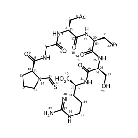 CC(=O)C[C@H](NC(=O)CNC(=O)[C@@H]1CCCN1C=S)C(=O)N[C@@H](CC(C)C)C(=O)N[C@@H](CO)C(=O)N[C@@H](CCCNC(=N)N)C(=O)O